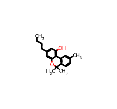 CCCCc1cc(O)c2c(c1)OC(C)(C)c1ccc(C)cc1-2